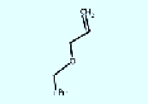 C=CCOC[CH]CC